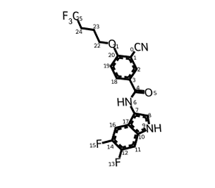 N#Cc1cc(C(=O)Nc2c[nH]c3cc(F)c(F)cc23)ccc1OCCCC(F)(F)F